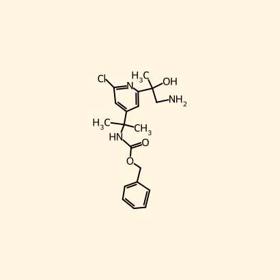 CC(O)(CN)c1cc(C(C)(C)NC(=O)OCc2ccccc2)cc(Cl)n1